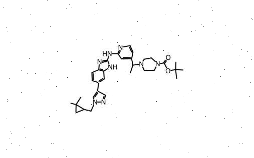 CC(c1ccnc(Nc2nc3ccc(-c4cnn(CC5CC5(C)C)c4)cc3[nH]2)c1)N1CCN(C(=O)OC(C)(C)C)CC1